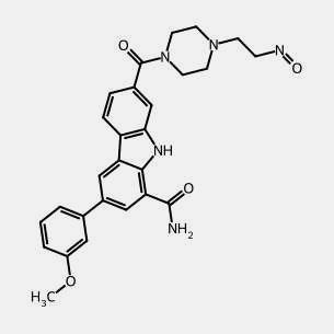 COc1cccc(-c2cc(C(N)=O)c3[nH]c4cc(C(=O)N5CCN(CCN=O)CC5)ccc4c3c2)c1